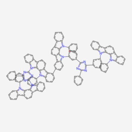 c1ccc(-c2nc(-c3cccc(-n4c5ccccc5c5ccc6c7ccccc7n(-c7ccccc7)c6c54)c3)nc(-c3cccc(-n4c5ccc(-c6cccc7c6c6ccc8c9ccccc9n(-c9nc(-c%10ccccc%10)nc(-n%10c%11ccccc%11c%11ccc%12c%13ccccc%13n(-c%13ccccc%13)c%12c%11%10)n9)c8c6n7-c6ccccc6)cc5c5ccc6c7ccccc7n(-c7ccccc7)c6c54)c3)n2)cc1